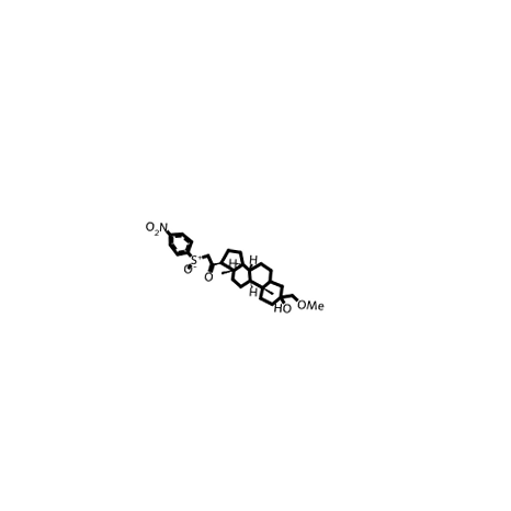 COCC1(O)CC[C@@]2(C)C(CC[C@H]3[C@@H]4CC[C@H](C(=O)C[S+]([O-])c5ccc([N+](=O)[O-])cc5)[C@@]4(C)CC[C@@H]32)C1